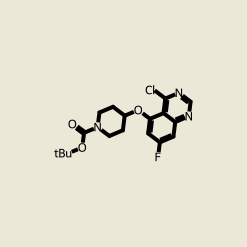 CC(C)(C)OC(=O)N1CCC(Oc2cc(F)cc3ncnc(Cl)c23)CC1